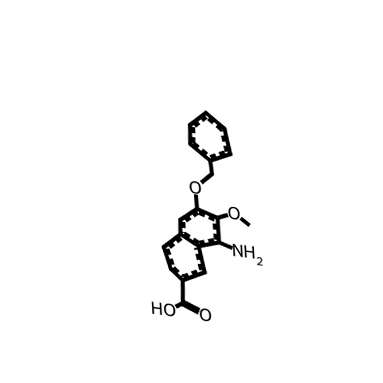 COc1c(OCc2ccccc2)cc2ccc(C(=O)O)cc2c1N